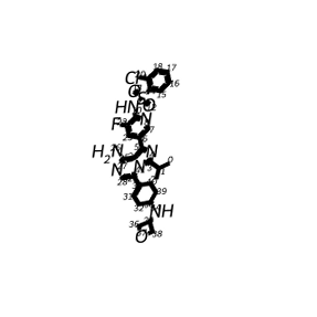 CC(C)c1nc(-c2cnc(NS(=O)(=O)c3ccccc3Cl)c(F)c2)c2c(N)ncc(C3=CCC(NC4COC4)CC3)n12